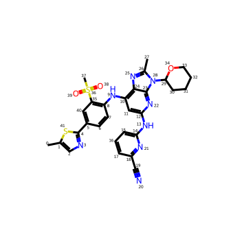 Cc1cnc(-c2ccc(Nc3cc(Nc4cccc(C#N)n4)nc4c3nc(C)n4C3CCCCO3)c(S(C)(=O)=O)c2)s1